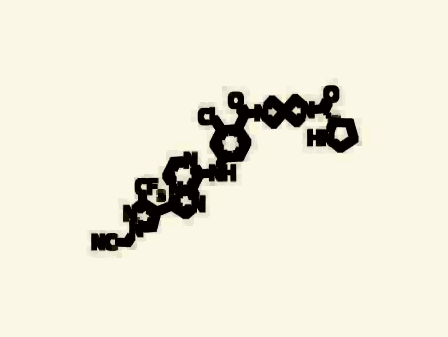 N#CCn1cc(-c2cnc3c(Nc4ccc(C(=O)N5CC6(C5)CN(C(=O)[C@@H]5CCCN5)C6)c(Cl)c4)nccn23)c(C(F)(F)F)n1